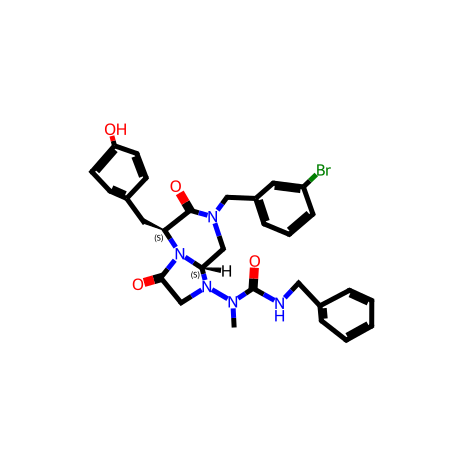 CN(C(=O)NCc1ccccc1)N1CC(=O)N2[C@@H](Cc3ccc(O)cc3)C(=O)N(Cc3cccc(Br)c3)C[C@@H]21